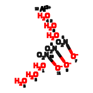 O.O.O.O.O.O.O=[N+]([O-])[O-].O=[N+]([O-])[O-].O=[N+]([O-])[O-].[Al+3]